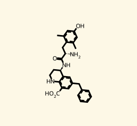 Cc1cc(O)cc(C)c1C[C@H](N)C(=O)N[C@@H]1CCNc2c(C(=O)O)cc(Cc3ccccc3)cc21